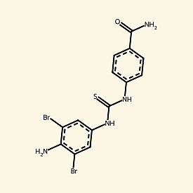 NC(=O)c1ccc(NC(=S)Nc2cc(Br)c(N)c(Br)c2)cc1